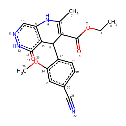 CCOC(=O)C1=C(C)Nc2cn[nH]c(=O)c2C1c1ccc(C#N)cc1OC